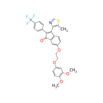 COc1ccc(OCCOc2ccc3c(c2)C(=O)C(c2ccc(C(F)(F)F)cc2)=C3c2ncsc2C)cc1OC